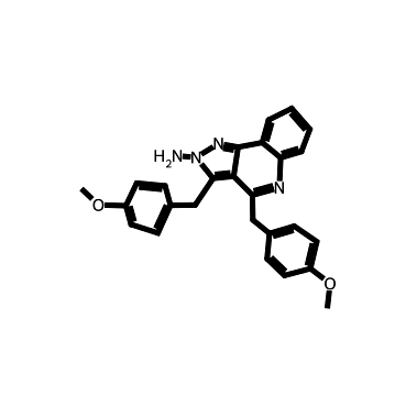 COc1ccc(Cc2nc3ccccc3c3nn(N)c(Cc4ccc(OC)cc4)c23)cc1